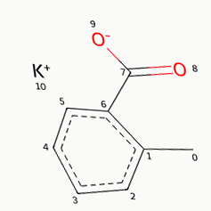 Cc1ccccc1C(=O)[O-].[K+]